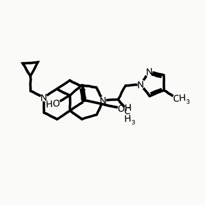 Cc1cnn(CC(C)N2CCC34CCN(CC5CC5)C(Cc5ccc(O)cc53)C4(O)CC2)c1